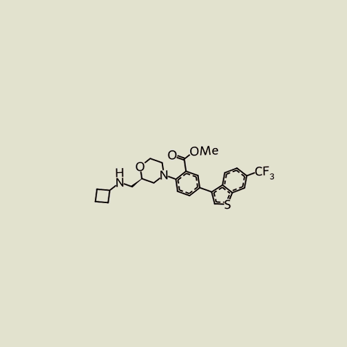 COC(=O)c1cc(-c2csc3cc(C(F)(F)F)ccc23)ccc1N1CCO[C@H](CNC2CCC2)C1